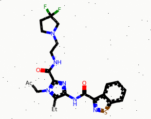 CCc1c(NC(=O)c2nsc3ccccc23)nc(C(=O)NCCN2CCC(F)(F)C2)n1CC(C)=O